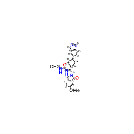 COc1ccc2c(c1)C(=O)N(C[C@H](NC(=O)NC=O)c1ccc(-c3ccc4c(cnn4C)c3)cc1)C2